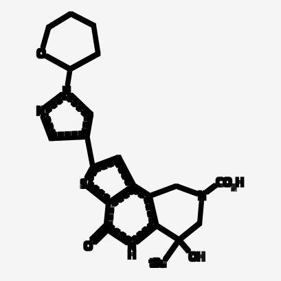 CC(C)(C)C1(O)CN(C(=O)O)Cc2c1[nH]c(=O)c1sc(-c3cnn(C4CCCCO4)c3)cc21